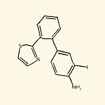 Nc1ccc(-c2ccccc2-c2nccs2)cc1I